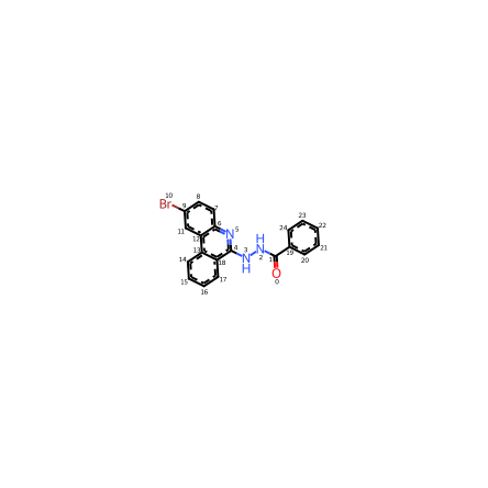 O=C(NNc1nc2ccc(Br)cc2c2ccccc12)c1ccccc1